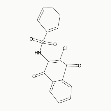 O=C1C(Cl)=C(NS(=O)(=O)C2=CCCC=C2)C(=O)c2ccccc21